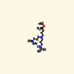 CCCCO[SiH2]CCCN(CCCNC(CC)CC)CCCN(CC)CCC